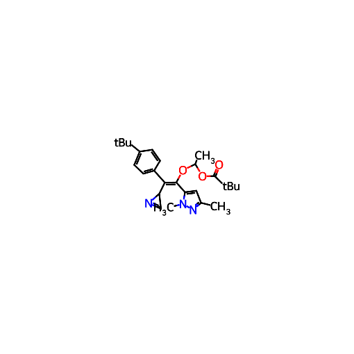 Cc1cc(/C(OC(C)OC(=O)C(C)(C)C)=C(/c2ccc(C(C)(C)C)cc2)C2C=N2)n(C)n1